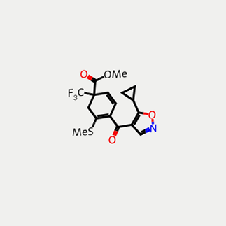 COC(=O)C1(C(F)(F)F)C=CC(C(=O)c2cnoc2C2CC2)=C(SC)C1